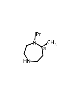 CC(C)N1CCNCC[C@@H]1C